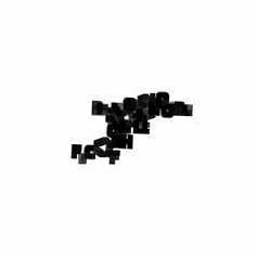 CCc1c(N2CCN(C(=O)OC(C)(C)C)[C@H]3CC[C@@H]32)c(=O)c2nc(Br)cnc2n1CC(=O)Nc1ccc(C(F)(F)F)cc1F